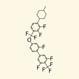 CC1CCC(c2ccc(C(F)(F)Oc3ccc(-c4cc(F)c(C(F)(F)F)c(F)c4)c(F)c3)c(F)c2F)CC1